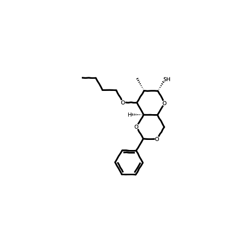 CCCCOC1[C@@H]2OC(c3ccccc3)OCC2O[C@@H](S)[C@H]1C